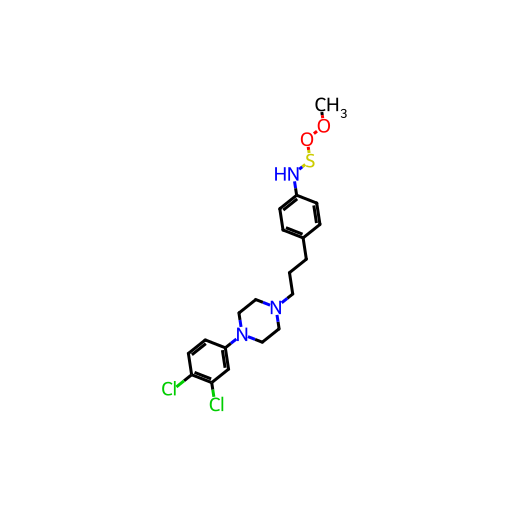 COOSNc1ccc(CCCN2CCN(c3ccc(Cl)c(Cl)c3)CC2)cc1